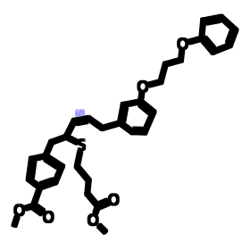 COC(=O)CCCSC(/C=C\Cc1cccc(OCCCOc2ccccc2)c1)Cc1ccc(C(=O)OC)cc1